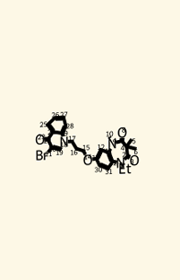 CCN1C(=O)C(C)(C)C(=O)N(C)c2cc(OCCCn3cc(Br)c(=O)c4ccccc43)ccc21